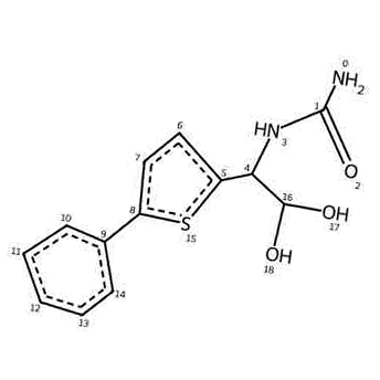 NC(=O)NC(c1ccc(-c2ccccc2)s1)C(O)O